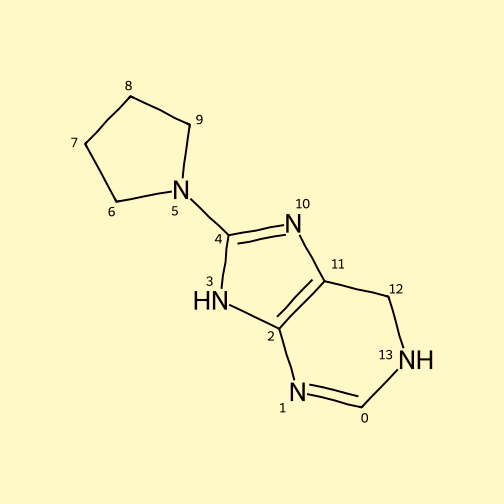 C1=Nc2[nH]c(N3CCCC3)nc2CN1